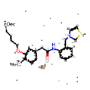 Br.CCCCCCCCCCCCCCOc1cc(CC(=O)Nc2ccccc2CN2C=CSC2)ccc1OC